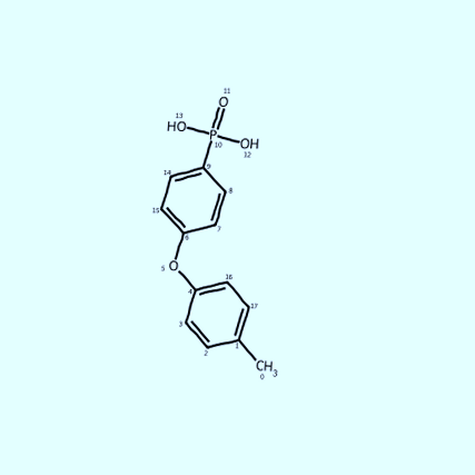 Cc1ccc(Oc2ccc(P(=O)(O)O)cc2)cc1